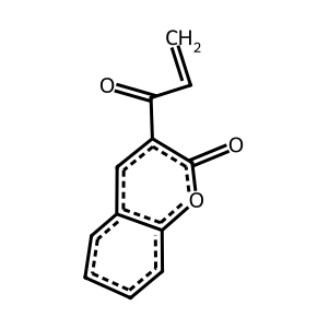 C=CC(=O)c1cc2ccccc2oc1=O